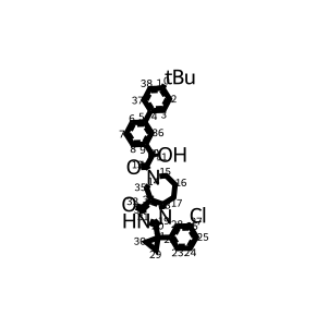 CC(C)(C)c1ccc(-c2cccc([C@@H](O)C(=O)N3CCCc4nc(C5(c6cccc(Cl)c6)CC5)[nH]c(=O)c4C3)c2)cc1